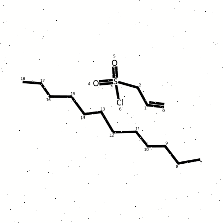 C=CCS(=O)(=O)Cl.CCCCCCCCCCCC